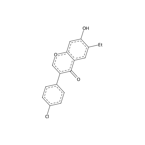 CCc1cc2c(=O)c(-c3ccc(Cl)cc3)coc2cc1O